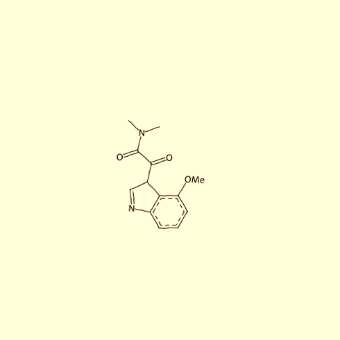 COc1cccc2c1C(C(=O)C(=O)N(C)C)C=N2